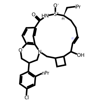 CCCc1cc(Cl)ccc1C1COc2ccc3cc2N(C1)CC1CCC1C(O)/C=C/CC[C@H](CC(C)C)[S+]([O-])NC3=O